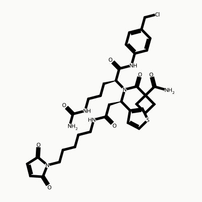 NC(=O)NCCC[C@@H](C(=O)Nc1ccc(CCl)cc1)N(C(=O)C1(C(N)=O)CCC1)[C@H](CC(=O)NCCCCCN1C(=O)C=CC1=O)c1ccsc1